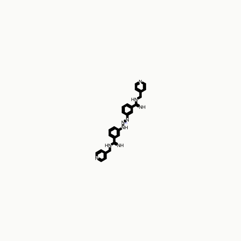 N=C(NCc1ccncc1)c1cccc(/N=N/Nc2cccc(C(=N)NCc3ccncc3)c2)c1